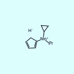 C[CH](C)[Mn+]([C]1=CC=CC1)[CH]1CC1.[H-]